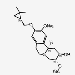 COc1cc2c(cc1OC[C@H]1CC1(C)C)CCN1C[C@@H](OC(C)(C)C)[C@H](O)C[C@H]21